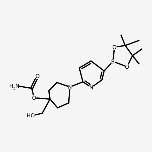 CC1(C)OB(c2ccc(N3CCC(CO)(OC(N)=O)CC3)nc2)OC1(C)C